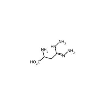 N/N=C(/CC(N)C(=O)O)NN